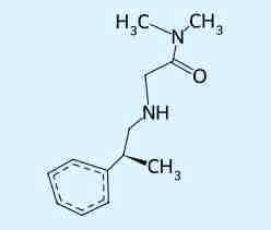 C[C@H](CNCC(=O)N(C)C)c1ccccc1